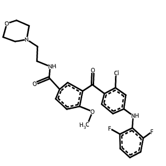 COc1ccc(C(=O)NCCN2CCOCC2)cc1C(=O)c1ccc(Nc2c(F)cccc2F)cc1Cl